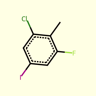 Cc1c(F)cc(I)cc1Cl